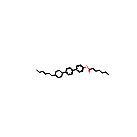 CCCCCCC(=O)Oc1ccc(-c2ccc(C3CCC(CCCCCC)CC3)cc2)cc1